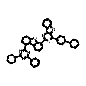 c1ccc(-c2ccc(-c3nc(-c4cccc5c4oc4cccc(-c6nc(-c7ccccc7)nc(-c7ccccc7)n6)c45)nc4c3oc3ccccc34)cc2)cc1